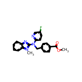 COC(=O)c1ccc(CN(c2ccc(F)cn2)c2nc3ccccc3n2C)cc1